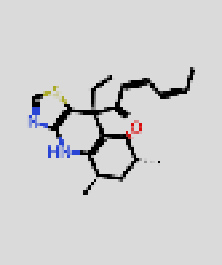 C=C(/C=C\C=C/C)[C@]1(CC)C2=C(Nc3ncsc31)[C@H](C)C[C@@H](C)C2=O